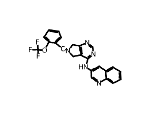 FC(F)(F)Oc1ccccc1CN1Cc2ncnc(Nc3cnc4ccccc4c3)c2C1